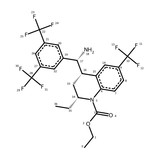 CCOC(=O)N1c2ccc(C(F)(F)F)cc2[C@@H]([C@@H](N)c2cc(C(F)(F)F)cc(C(F)(F)F)c2)C[C@H]1CC